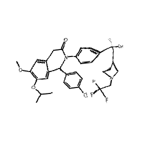 COc1cc2c(cc1OC(C)C)C(c1ccc(Cl)cc1)N(c1ccc([C@@](C)(O)C3CN(CC(F)(F)F)C3)cc1)C(=O)C2